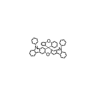 c1ccc(-n2c3ccccc3c3cc4c(cc32)C2(c3ccccc3Oc3ccccc32)c2cc3c(cc2O4)c2ccccc2n3-c2ccccc2)cc1